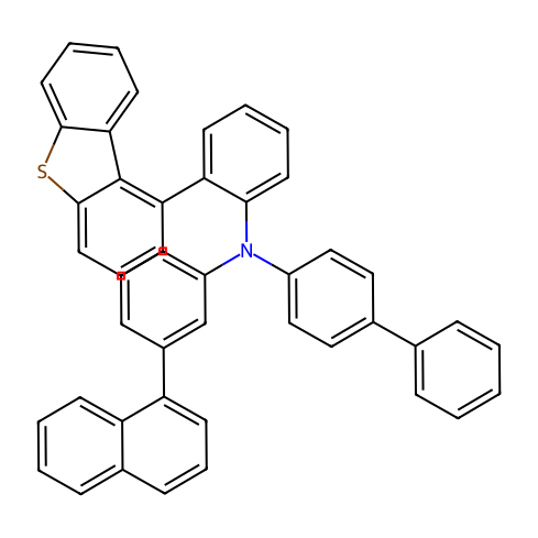 c1ccc(-c2ccc(N(c3cccc(-c4cccc5ccccc45)c3)c3ccccc3-c3cccc4sc5ccccc5c34)cc2)cc1